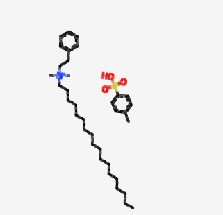 CCCCCCCCCCCCCCCCCC[N+](C)(C)CCc1ccccc1.Cc1ccc(S(=O)(=O)O)cc1